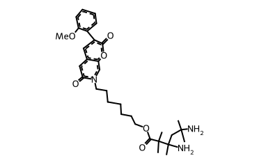 COc1ccccc1-c1cc2cc(=O)n(CCCCCCCOC(=O)C(C)(C)C(C)(N)CC(C)(C)N)cc2oc1=O